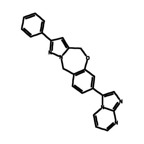 c1ccc(-c2cc3n(n2)Cc2ccc(-c4cnc5ncccn45)cc2OC3)cc1